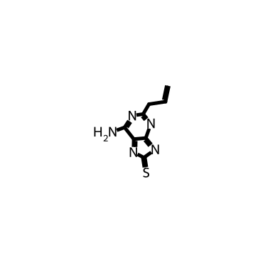 C=CCc1nc(N)c2c(n1)=NC(=S)N=2